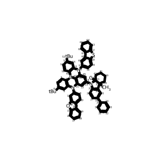 CC(C)(C)c1ccc2c(c1)N(c1ccc3c(c1)oc1ccccc13)c1cc(N3c4ccc(-c5ccccc5)cc4C4(C)CCCCC34C)cc3c1B2c1ccc(C(C)(C)C)cc1N3c1ccc2sc3ccccc3c2c1